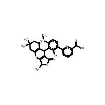 COc1ccc(-c2cccc(C(=O)O)n2)c(C)c1C1C2=C(CC(C)(C)CC2=O)OC2=C1C(=O)OC2C